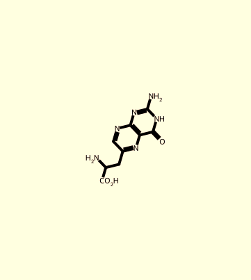 Nc1nc2ncc(CC(N)C(=O)O)nc2c(=O)[nH]1